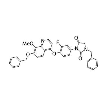 COc1c(OCc2ccccc2)ccc2c(Oc3ccc(N4C(=O)CN(Cc5ccccc5)C4=O)cc3F)ccnc12